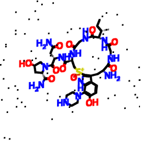 CC[C@H](C)[C@@H]1NC(=O)CNC(=O)[C@H](N)Cc2c([nH]c3c(N4CCNCC4)c(O)ccc23)[S+]([O-])C[C@@H](C(=O)N[C@@H](CC(N)=O)C(=O)N2C[C@H](O)C[C@H]2C(N)=O)NC(=O)CNC1=O